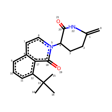 C=C1CCC(n2ccc3cccc(C(C)(C)C)c3c2=O)C(=O)N1